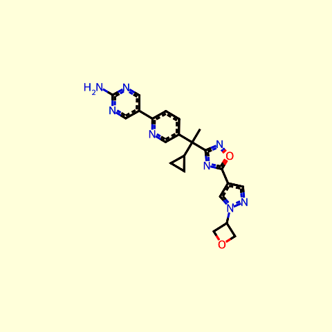 CC(c1ccc(-c2cnc(N)nc2)nc1)(c1noc(-c2cnn(C3COC3)c2)n1)C1CC1